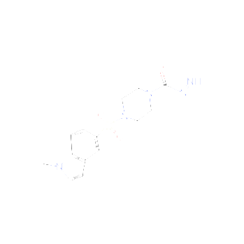 Cn1ccc2cc(S(=O)(=O)N3CCN(C(=O)N=N)CC3)ccc21